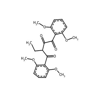 CCC(C(=O)C(=O)c1c(OC)cccc1OC)C(=O)c1c(OC)cccc1OC